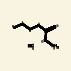 CCCCC(=O)ON.Cl